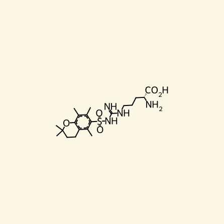 Cc1c(C)c(S(=O)(=O)NC(=N)NCCC[C@@H](N)C(=O)O)c(C)c2c1OC(C)(C)CC2